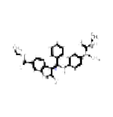 CCOC(=O)c1ccc2c(c1)NC(=O)/C2=C(\Nc1ccc(N(C)C(=O)NC)cc1)c1ccccc1